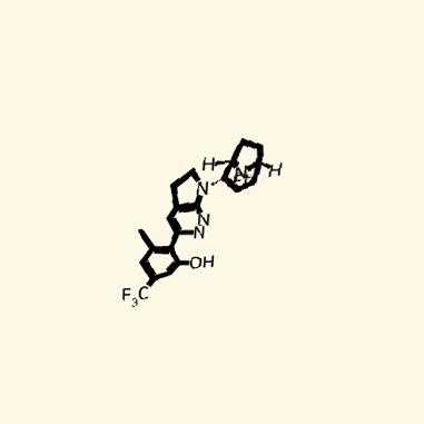 CCN1[C@H]2CC[C@H](N3CCc4cc(-c5c(C)cc(C(F)(F)F)cc5O)nnc43)[C@@H]1CC2